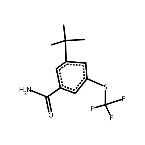 CC(C)(C)c1cc(SC(F)(F)F)cc(C(N)=O)c1